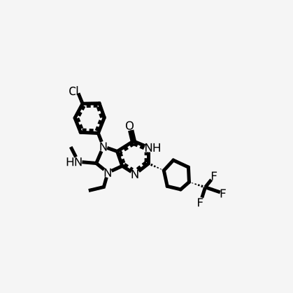 CCN1c2nc([C@H]3CC[C@@H](C(F)(F)F)CC3)[nH]c(=O)c2N(c2ccc(Cl)cc2)C1NC